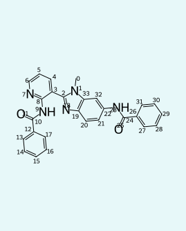 Cn1c(-c2cccnc2NC(=O)c2ccccc2)nc2ccc(NC(=O)c3ccccc3)cc21